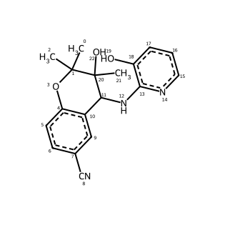 CC1(C)Oc2ccc(C#N)cc2C(Nc2ncccc2O)C1(C)O